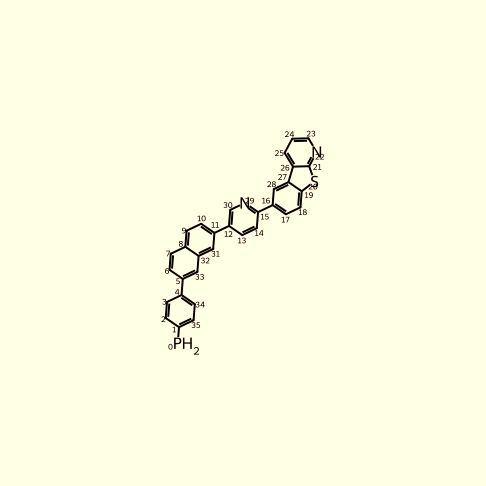 Pc1ccc(-c2ccc3ccc(-c4ccc(-c5ccc6sc7ncccc7c6c5)nc4)cc3c2)cc1